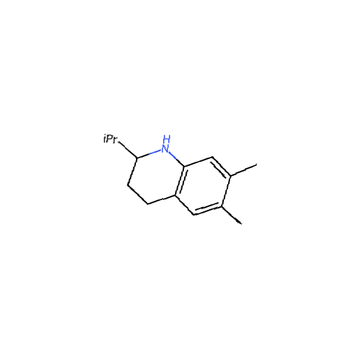 Cc1cc2c(cc1C)NC(C(C)C)CC2